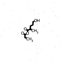 C=CC(=O)OC(=O)C(=C)CCCO